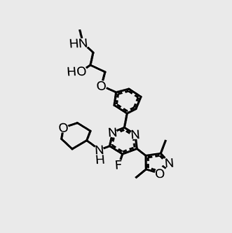 CNCC(O)COc1cccc(-c2nc(NC3CCOCC3)c(F)c(-c3c(C)noc3C)n2)c1